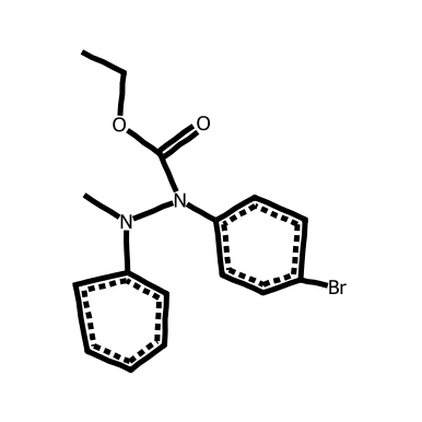 CCOC(=O)N(c1ccc(Br)cc1)N(C)c1ccccc1